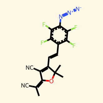 C/C(C#N)=C1\OC(C)(C)C(/C=C/c2c(F)c(F)c(N=[N+]=[N-])c(F)c2F)=C1C#N